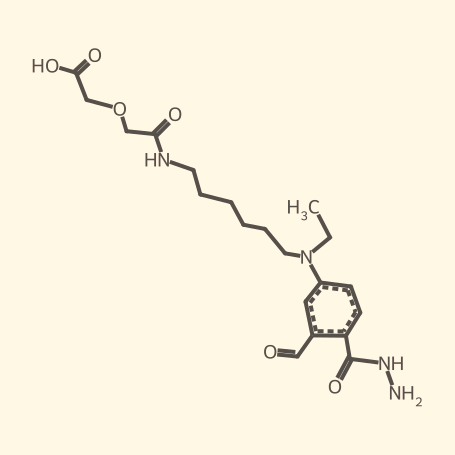 CCN(CCCCCCNC(=O)COCC(=O)O)c1ccc(C(=O)NN)c(C=O)c1